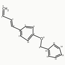 C=CC=Cc1ccc(OCc2ccccc2)cc1